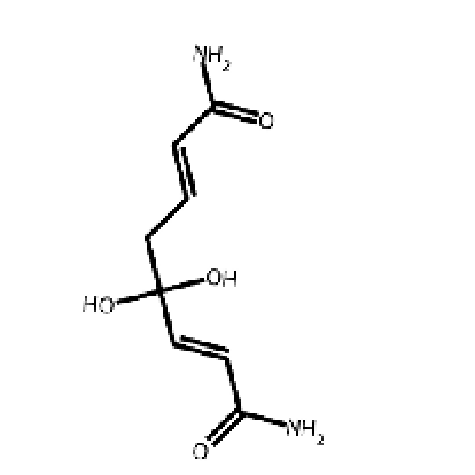 NC(=O)C=CCC(O)(O)C=CC(N)=O